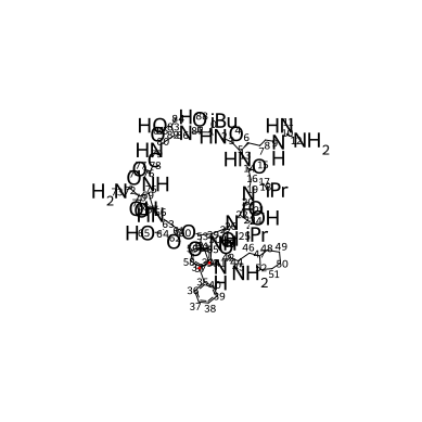 CC[C@H](C)[C@@H]1NC(=O)[C@@H](CCCNC(=N)N)NC(=O)[C@H](CC(C)C)NC(=O)[C@H]([C@H](O)C(C)C)NC(=O)[C@@H](NC(=O)[C@H](Cc2ccccc2)NC(=O)[C@@H](N)CC2CCCCC2)[C@@H](c2ccccc2)OC(=O)[C@H](CO)NC(=O)[C@H]([C@H](O)C(N)=O)NC(=O)CNC(=O)[C@H]([C@H](C)O)NC1=O